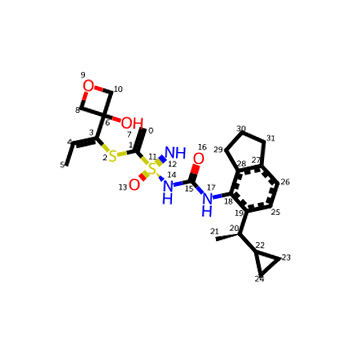 C=C(S/C(=C\C)C1(O)COC1)[S@](=N)(=O)NC(=O)Nc1c([C@H](C)C2CC2)ccc2c1CCC2